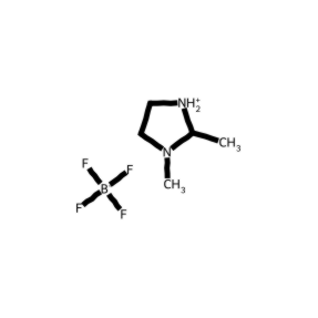 CC1[NH2+]CCN1C.F[B-](F)(F)F